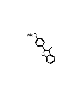 COc1ccc(-c2oc3ccccc3c2I)cc1